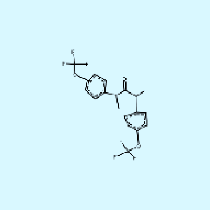 CC(C(=O)C(C)c1ccc(OC(F)(F)F)cc1)c1ccc(OC(F)(F)F)cc1